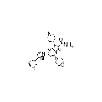 Cc1cccc(-c2ccn(-c3cc(N4CCOCC4)n4nc(C(N)=O)c(C5CCN(C)CC5)c4n3)n2)c1